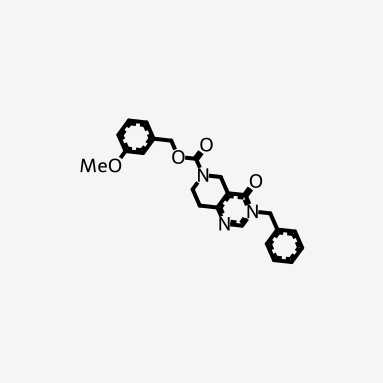 COc1cccc(COC(=O)N2CCc3ncn(Cc4ccccc4)c(=O)c3C2)c1